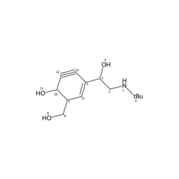 CC(C)(C)NCC(O)C1=CC(CO)C(O)C#C1